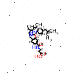 CCCCC(CC)CN(Cc1ccc(C(=O)NCCC(=O)O)cc1)C(=O)Nc1ccc(CC(C)C)cc1